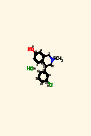 CN1Cc2cc(O)ccc2C(c2cccc(Cl)c2)C1.Cl